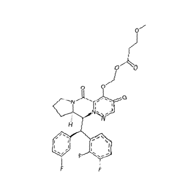 COCCC(=O)OCOc1c2n(ncc1=O)[C@@H]([C@H](c1cccc(F)c1)c1cccc(F)c1F)[C@H]1CCCN1C2=O